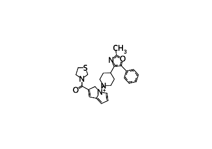 Cc1nc(C2CCN([N@@+]34C=CC=C3C=C(C(=O)N3CCSC3)C4)CC2)c(-c2ccccc2)o1